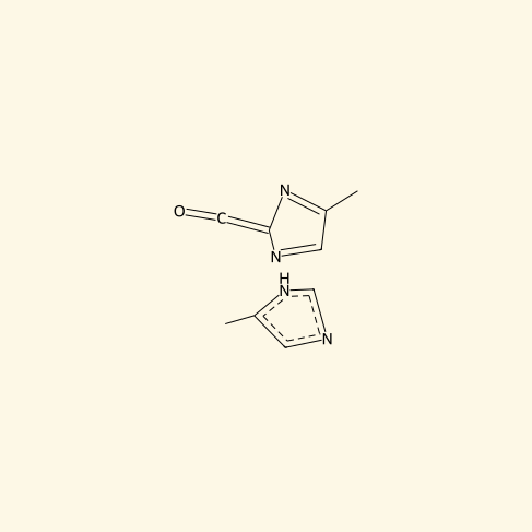 CC1=NC(=C=O)N=C1.Cc1cnc[nH]1